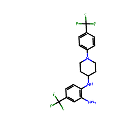 Nc1cc(C(F)(F)F)ccc1NC1CCN(c2[c]cc(C(F)(F)F)cc2)CC1